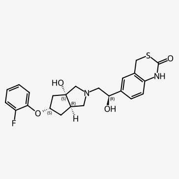 O=C1Nc2ccc([C@@H](O)CN3C[C@H]4C[C@H](Oc5ccccc5F)C[C@@]4(O)C3)cc2CS1